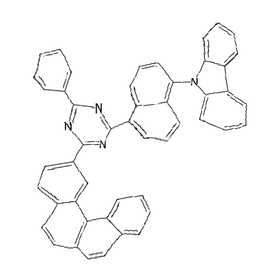 c1ccc(-c2nc(-c3ccc4ccc5ccc6ccccc6c5c4c3)nc(-c3cccc4c(-n5c6ccccc6c6ccccc65)cccc34)n2)cc1